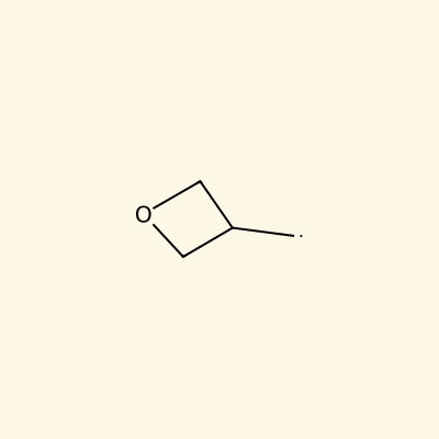 [CH2]C1COC1